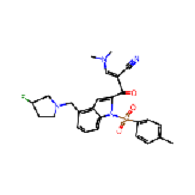 Cc1ccc(S(=O)(=O)n2c(C(=O)C(C#N)=CN(C)C)cc3c(CN4CCC(F)C4)cccc32)cc1